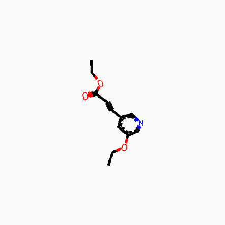 CCOC(=O)C#Cc1cncc(OCC)c1